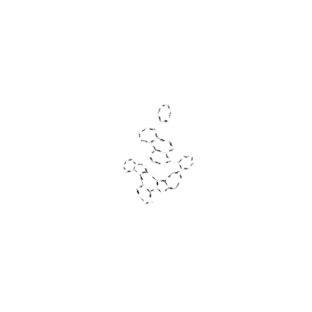 c1ccc(-c2ccnc3c2ccc2c(-c4ccccc4)nc(-n4c5ccccc5c5c6cccnc6c6sc7ccccc7c6c54)nc23)cc1